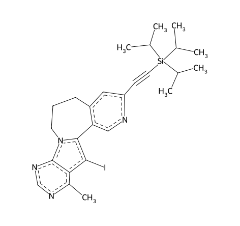 Cc1ncnc2c1c(I)c1n2CCCc2cc(C#C[Si](C(C)C)(C(C)C)C(C)C)ncc2-1